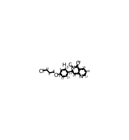 Cn1c(-c2ccc(OCCCCl)cc2)cc2ncccc2c1=O